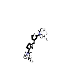 C/N=C(\C)c1cc(Cc2cccc(/C(C)=N/C)n2)ccn1